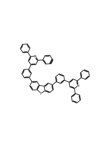 c1ccc(-c2cc(-c3cccc(-c4ccc5sc6ccc(-c7cccc(-c8cc(-c9ccccc9)nc(-c9ccccc9)c8)c7)cc6c5c4)c3)cc(-c3ccccc3)n2)cc#1